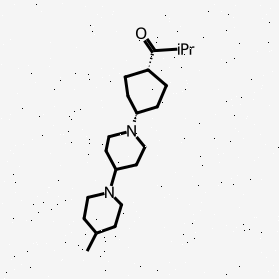 CC1CCN(C2CCN([C@H]3CC[C@@H](C(=O)C(C)C)CC3)CC2)CC1